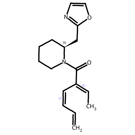 C=C/C=C\C(=C/C)C(=O)N1CCCC[C@H]1Cc1ncco1